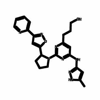 Cc1cc(Nc2cc(CCCO)nc(N3CCCC3c3cc(-c4ccccn4)no3)n2)n[nH]1